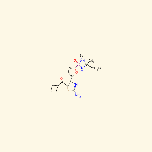 CCNP(=O)(N[C@@H](C)C(=O)OCC)c1ccc(-c2nc(N)sc2C(=O)C2CCC2)o1